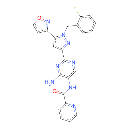 Nc1nc(-c2cc(-c3ccon3)n(Cc3ccccc3F)n2)ncc1NC(=O)c1ccccn1